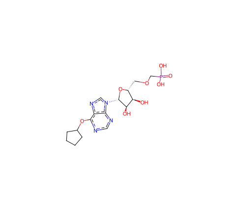 O=P(O)(O)COC[C@H]1O[C@@H](n2cnc3c(OC4CCCC4)ncnc32)[C@H](O)[C@@H]1O